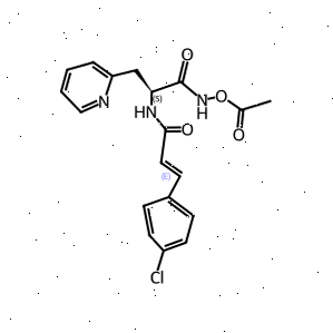 CC(=O)ONC(=O)[C@H](Cc1ccccn1)NC(=O)/C=C/c1ccc(Cl)cc1